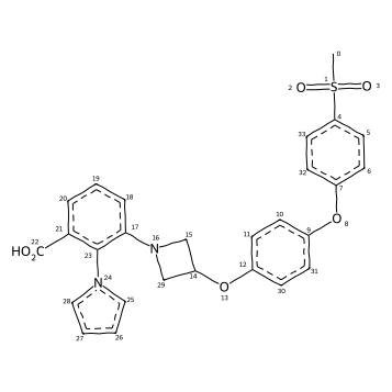 CS(=O)(=O)c1ccc(Oc2ccc(OC3CN(c4cccc(C(=O)O)c4-n4cccc4)C3)cc2)cc1